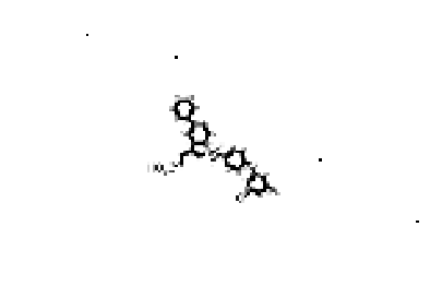 O=C(O)CCc1cn(S(=O)(=O)c2ccc(Oc3cc(Cl)cc(Cl)c3)cc2)c2ccc(-c3ccccc3)cc12